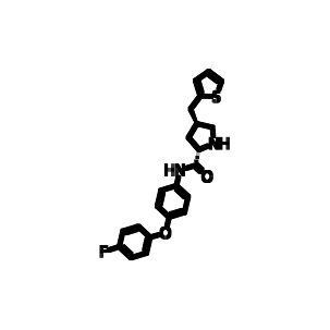 O=C(Nc1ccc(Oc2ccc(F)cc2)cc1)[C@@H]1C[C@@H](Cc2cccs2)CN1